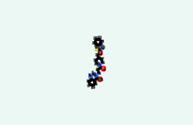 O=C(CCn1cnc2ccccc2c1=O)N1CCC(COc2nc3ccccc3s2)CC1